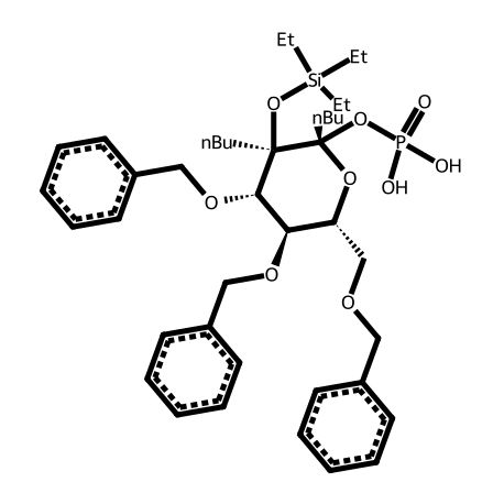 CCCC[C@@]1(OP(=O)(O)O)O[C@H](COCc2ccccc2)[C@@H](OCc2ccccc2)[C@H](OCc2ccccc2)[C@@]1(CCCC)O[Si](CC)(CC)CC